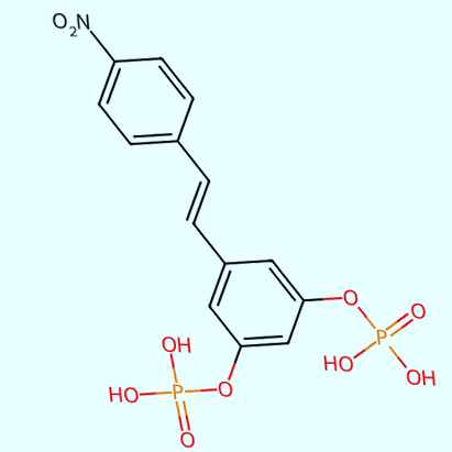 O=[N+]([O-])c1ccc(C=Cc2cc(OP(=O)(O)O)cc(OP(=O)(O)O)c2)cc1